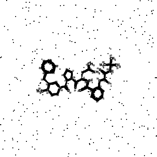 CC(C)C[C@H](NC(=O)c1ccccc1OC(F)C(=O)NC(C)(C)C)C(=O)N1CCC[C@@H]1C(=O)N1CCN(C)[C@@H](Cc2ccccc2)C1